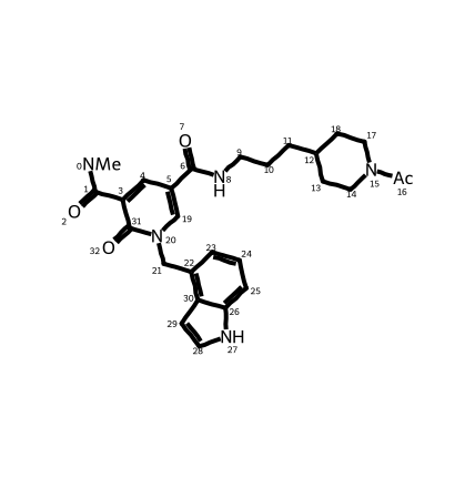 CNC(=O)c1cc(C(=O)NCCCC2CCN(C(C)=O)CC2)cn(Cc2cccc3[nH]ccc23)c1=O